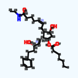 CCCCCCC(=O)O[C@@H]1C[C@H](O)[C@H](C/C=C\CCCC(=O)NCC)[C@H]1/C=C/[C@@H](O)CCc1ccccc1